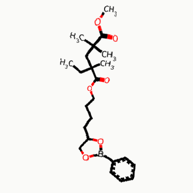 CCC(C)(CC(C)(C)C(=O)OC)C(=O)OCCCCC1COB(c2ccccc2)O1